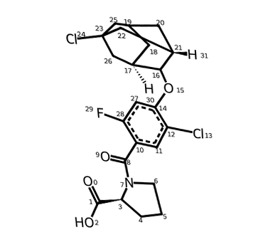 O=C(O)[C@@H]1CCCN1C(=O)c1cc(Cl)c(OC2[C@@H]3CC4C[C@H]2CC(Cl)(C4)C3)cc1F